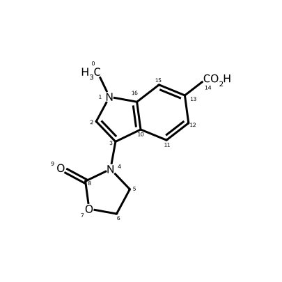 Cn1cc(N2CCOC2=O)c2ccc(C(=O)O)cc21